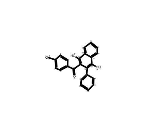 O=C(c1ccc(Cl)cc1)c1c(-c2ccccc2)c(O)c2ccccc2c1O